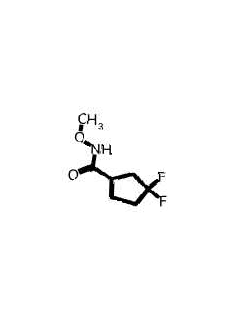 CONC(=O)C1CCC(F)(F)C1